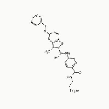 CCOC(=O)CCNC(=O)c1ccc(NC(c2oc3ccc(OCc4ccccc4)cc3c2C)C(C)C)cc1